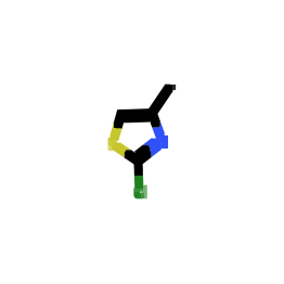 [CH2]c1csc(Cl)n1